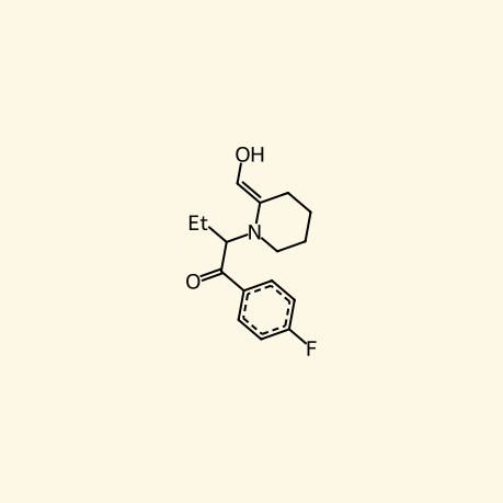 CCC(C(=O)c1ccc(F)cc1)N1CCCCC1=CO